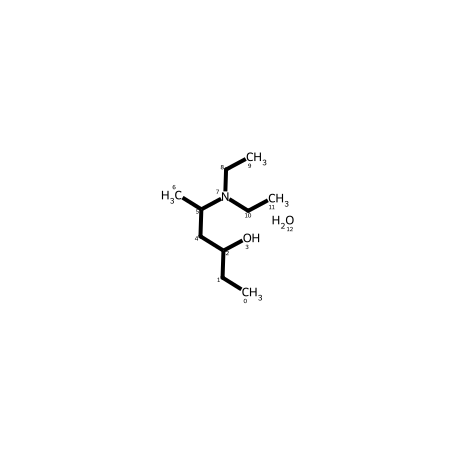 CCC(O)CC(C)N(CC)CC.O